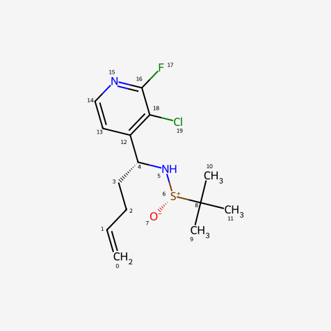 C=CCC[C@@H](N[S@@+]([O-])C(C)(C)C)c1ccnc(F)c1Cl